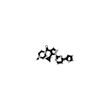 CN1CCN(C(=O)c2cnn(-c3nccc(-c4cccs4)n3)c2C2CC2)CC1